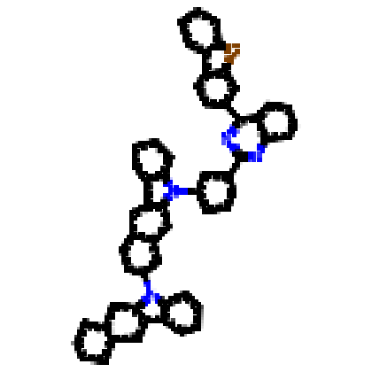 c1cc(-c2nc(-c3ccc4c(c3)sc3ccccc34)c3ccccc3n2)cc(-n2c3ccccc3c3cc4ccc(-n5c6ccccc6c6cc7ccccc7cc65)cc4cc32)c1